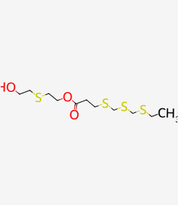 CCSCSCSCCC(=O)OCCSCCO